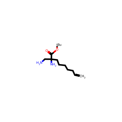 C=CCCCCCC(N)(CN)C(=O)OC(C)(C)C